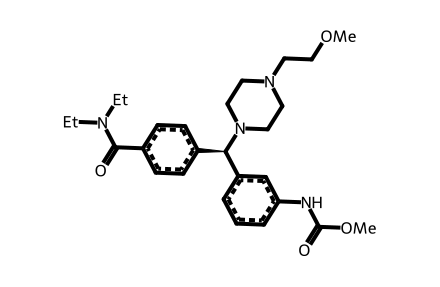 CCN(CC)C(=O)c1ccc([C@H](c2cccc(NC(=O)OC)c2)N2CCN(CCOC)CC2)cc1